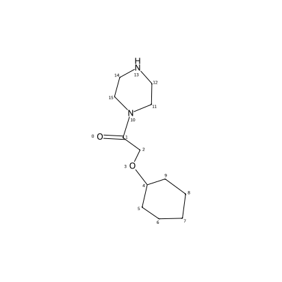 O=C(COC1CCCCC1)N1CCNCC1